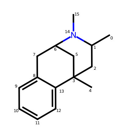 CC1CC2(C)CC(Cc3ccccc32)N1C